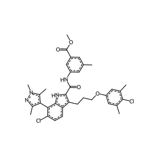 COC(=O)c1cc(C)cc(NC(=O)c2[nH]c3c(-c4c(C)nn(C)c4C)c(Cl)ccc3c2CCCOc2cc(C)c(Cl)c(C)c2)c1